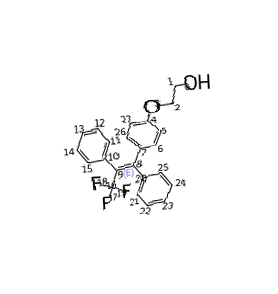 OCCOc1ccc(/C(=C(\c2ccccc2)C(F)(F)F)c2ccccc2)cc1